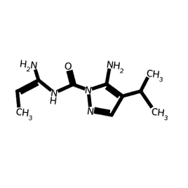 C/C=C(/N)NC(=O)n1ncc(C(C)C)c1N